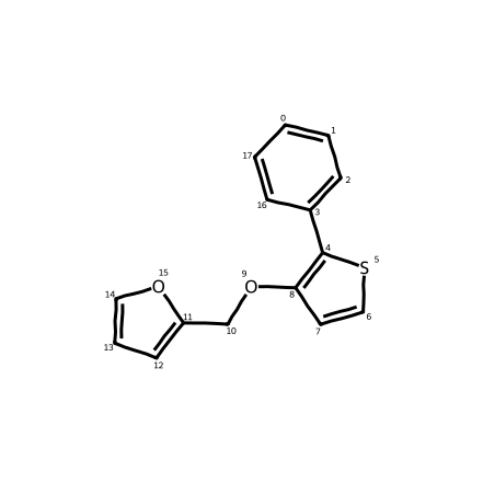 c1ccc(-c2sccc2OCc2ccco2)cc1